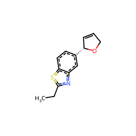 CCc1nc2cc([C@@H]3C=CCO3)ccc2s1